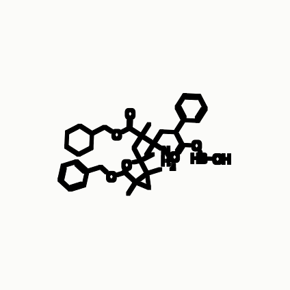 CC(C)(CC(C)(C(=O)OCC1CCCCC1)C(C)(N)CC(C(=O)OBO)c1ccccc1)C1(C)CC1(C)C(=O)OCc1ccccc1